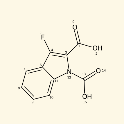 O=C(O)c1c(F)c2ccccc2n1C(=O)O